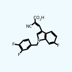 N#C/C(=C\c1cn(Cc2ccc(F)c(F)c2)c2cc(F)ccc12)C(=O)O